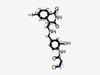 O=C(/C=C\Cl)Nc1ccc(CN/C=C2\C(=O)NC(=O)c3ccc(I)cc32)cc1O